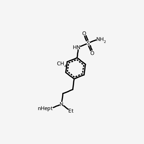 C.CCCCCCCN(CC)CCc1ccc(NS(N)(=O)=O)cc1